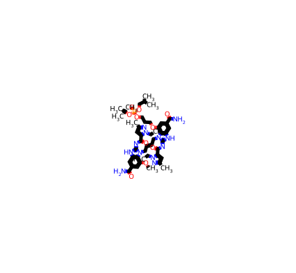 CCn1nc(C)cc1C(=O)/N=c1/[nH]c2cc(C(N)=O)cc(OC)c2n1C/C=C/Cn1/c(=N\C(=O)c2cc(C)nn2CC)[nH]c2cc(C(N)=O)cc(OCCCOP(=O)(OCC(C)C)OC(C)(C)C)c21